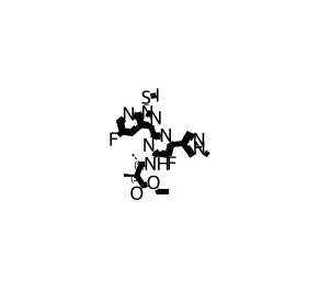 CCOC(=O)[C@@H](C)[C@H](C)Nc1nc(-c2nn(SI)c3ncc(F)cc23)nc(-c2cnn(C)c2)c1F